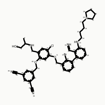 CC(CO)NCc1cc(Cl)c(OCc2cccc(-c3cccc(NCCCCN4CCCC4)c3C=N)c2Br)cc1OCc1cc(C#N)cc(C#N)c1